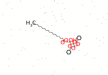 CCCCCCCCCCCCCCCCCC(=O)OCC(O)C1OC(c2ccccc2)OC2COC(c3ccccc3)OC21